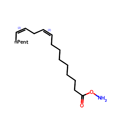 CCCCC/C=C\C/C=C\CCCCCCCC(=O)ON